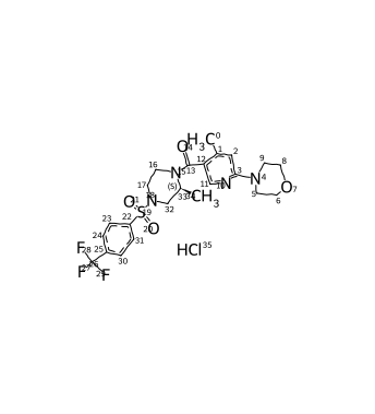 Cc1cc(N2CCOCC2)ncc1C(=O)N1CCN(S(=O)(=O)c2ccc(C(F)(F)F)cc2)C[C@@H]1C.Cl